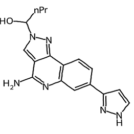 CCCC(O)n1cc2c(N)nc3cc(-c4cc[nH]n4)ccc3c2n1